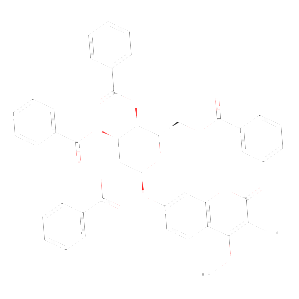 CCCCOc1c(OC(C)=O)c(=O)oc2cc(O[C@@H]3O[C@H](COC(=O)c4ccccc4)[C@H](OC(=O)c4ccccc4)[C@H](OC(=O)c4ccccc4)[C@H]3OC(=O)c3ccccc3)ccc12